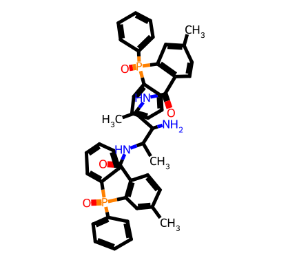 Cc1ccc(C(=O)NC(C)C(N)C(C)NC(=O)c2ccc(C)cc2P(=O)(c2ccccc2)c2ccccc2)c(P(=O)(c2ccccc2)c2ccccc2)c1